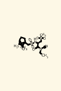 CCN(C#N)C(=O)C(CS(C)(=O)=O)NS(=O)(=O)CC12CCC(CC1=O)C2(C)C